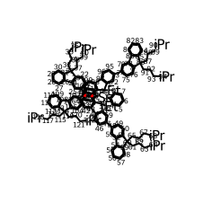 CCC1([Si](c2ccccc2)(c2ccccc2)C2(CC)c3cc(-c4ccc5c(c4)-c4ccccc4C5(CCCC(C)C)CCCC(C)C)ccc3-c3ccc(-c4ccc5c(c4)-c4ccccc4C5(CCCC(C)C)CCCC(C)C)cc32)c2cc(-c3ccc4c(c3)-c3ccccc3C4(CCCC(C)C)CCCC(C)C)ccc2-c2ccc(-c3ccc4c(c3)-c3ccccc3C4(CCCC(C)C)CCCC(C)C)cc21